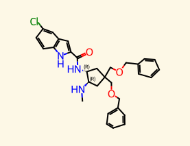 CN[C@@H]1CC(COCc2ccccc2)(COCc2ccccc2)C[C@H]1NC(=O)c1cc2cc(Cl)ccc2[nH]1